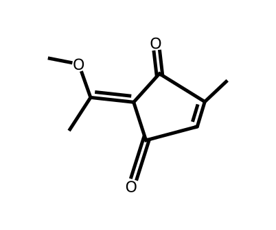 CO/C(C)=C1/C(=O)C=C(C)C1=O